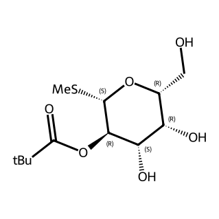 CS[C@@H]1O[C@H](CO)[C@H](O)[C@H](O)[C@H]1OC(=O)C(C)(C)C